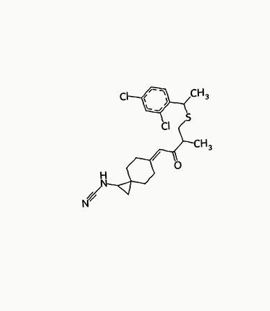 CC(CSC(C)c1ccc(Cl)cc1Cl)C(=O)C=C1CCC2(CC1)CC2NC#N